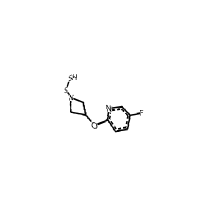 Fc1ccc(OC2CN(SS)C2)nc1